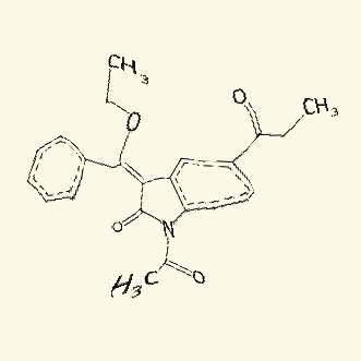 CCOC(=C1C(=O)N(C(C)=O)c2ccc(C(=O)CC)cc21)c1ccccc1